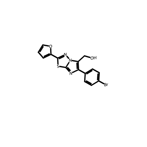 OCc1c(-c2ccc(Br)cc2)nc2sc(-c3ccco3)nn12